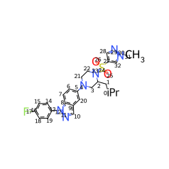 CC(C)CC1CN(c2ccc3c(cnn3-c3ccc(F)cc3)c2)CCN1S(=O)(=O)c1cnn(C)c1